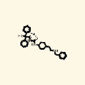 C[C@@H](NC(=O)NC1CCC(CCNCc2ccccc2)CC1)C(O)(c1ccccc1)c1ccccc1